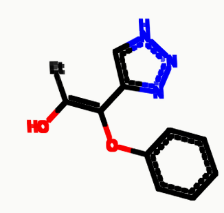 CCC(O)=C(Oc1ccccc1)c1c[nH]nn1